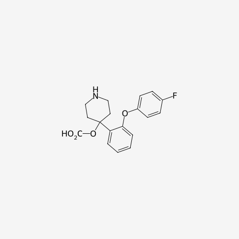 O=C(O)OC1(c2ccccc2Oc2ccc(F)cc2)CCNCC1